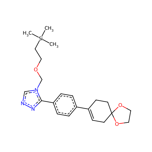 C[Si](C)(C)CCOCn1cnnc1-c1ccc(C2=CCC3(CC2)OCCO3)cc1